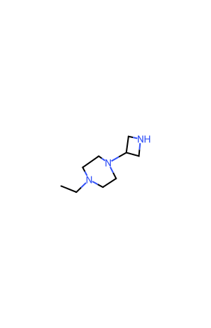 CCN1CCN(C2CNC2)CC1